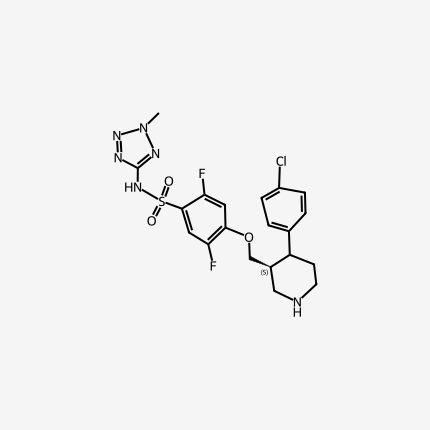 Cn1nnc(NS(=O)(=O)c2cc(F)c(OC[C@@H]3CNCCC3c3ccc(Cl)cc3)cc2F)n1